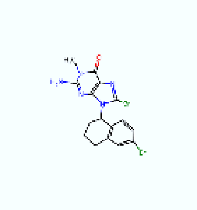 Cn1c(N)nc2c(nc(Br)n2C2CCCc3cc(Br)ccc32)c1=O